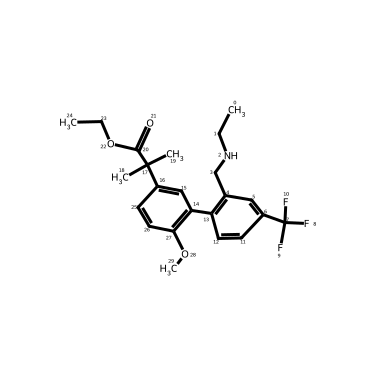 CCNCc1cc(C(F)(F)F)ccc1-c1cc(C(C)(C)C(=O)OCC)ccc1OC